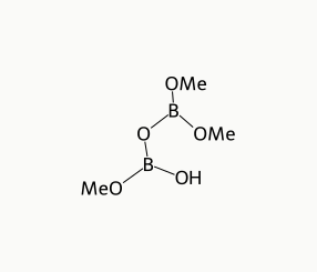 COB(O)OB(OC)OC